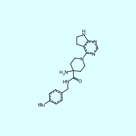 CC(C)(C)c1ccc(CNC(=O)C2(N)CCN(c3ncnc4c3CCN4)CC2)cc1